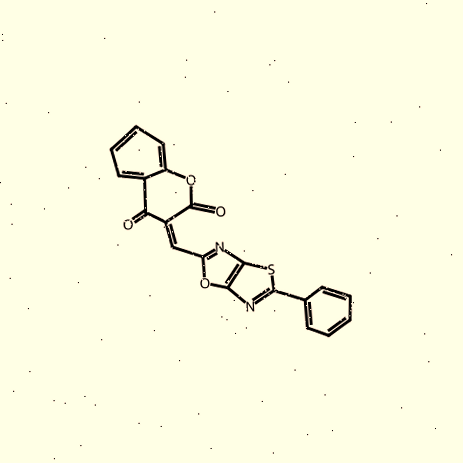 O=C1Oc2ccccc2C(=O)/C1=C/c1nc2sc(-c3ccccc3)nc2o1